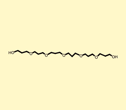 OCCCOCCCOCCCOCCCOCCCOCCCO